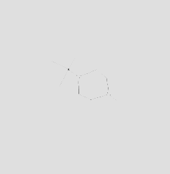 C[C@@H]1CN(C(C)(C)C)CCN1C